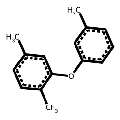 Cc1cccc(Oc2cc(C)ccc2C(F)(F)F)c1